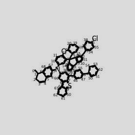 CC1CC=Cc2cc(N(c3ccc4c(c3)C3(c5ccccc5O4)c4ccccc4-c4ccc(-c5ccc(Cl)cc5)cc43)c3cc(-c4ccc(-c5ccccc5)cc4)c4sc5ccccc5c4c3)ccc21